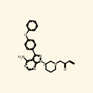 C=CC(=O)CN1CCC[C@@H](n2nc(-c3ccc(Oc4ccccc4)cc3)c3c(N)ncnc32)C1